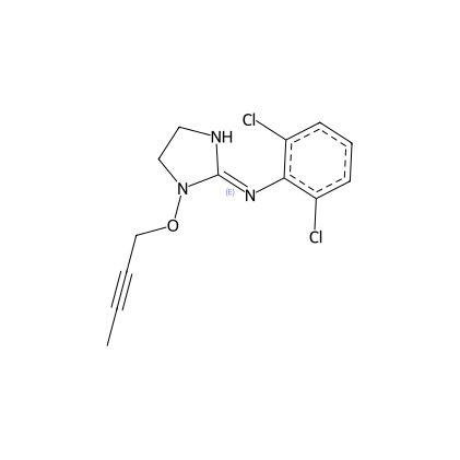 CC#CCON1CCN/C1=N\c1c(Cl)cccc1Cl